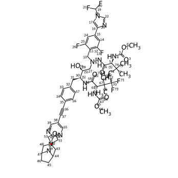 COC(=O)N[C@H](C(=O)NN(Cc1c(F)cc(-c2cn(C(F)F)cn2)cc1F)C[C@H](O)[C@H](Cc1ccc(C#Cc2cnc(N3CC4CCC(C3)N4C3COC3)nc2)cc1)NC(=O)[C@@H](NC(=O)OC)C(C)(C)C(F)(F)F)C(C)(C)C